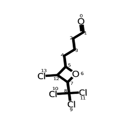 O=CCCCC1OC(C(Cl)(Cl)Cl)C1Cl